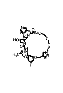 CC(C)C[C@H]1NC(=O)c2ccc(F)cc2OCc2cn(nn2)CCCCCCCCNC(=O)[C@H](Cc2cccnc2)N(C)C(=O)[C@H]2C[C@H](O)CN2C1=O